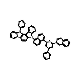 c1ccc(-c2cc(-c3ccc4ccccc4c3)nc(-c3cccc4c(-n5c6ccccc6c6c5ccc5c7ccccc7n(-c7ccccc7)c56)cccc34)c2)cc1